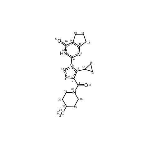 O=C(c1cnn(-c2nc3c(c(=O)[nH]2)CCC3)c1C1CC1)N1CCC(C(F)(F)F)CC1